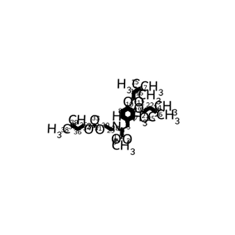 COC(=O)[C@H](Cc1ccc(OC(=O)CC(C)(C)C)c(OC(=O)CC(C)(C)C)c1)NCCOC(=O)OCCC(C)C